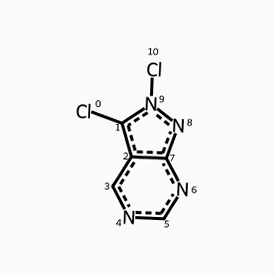 Clc1c2cncnc2nn1Cl